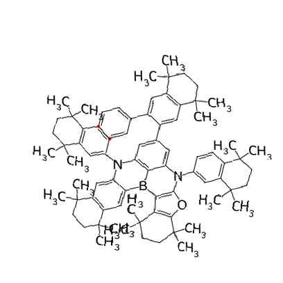 CC1(C)CCC(C)(C)c2cc(N3c4cc5c(cc4B4c6c3cc(-c3cc7c(cc3-c3ccccc3)C(C)(C)CCC7(C)C)cc6N(c3ccc6c(c3)C(C)(C)CCC6(C)C)c3oc6c(c34)C(C)(C)CCC6(C)C)C(C)(C)CCC5(C)C)ccc21